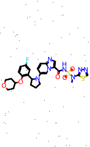 CN(c1nncs1)S(=O)(=O)NC(=O)c1cnc2ccc(N3CCCC3c3cc(F)ccc3OC3CCOCC3)cn12